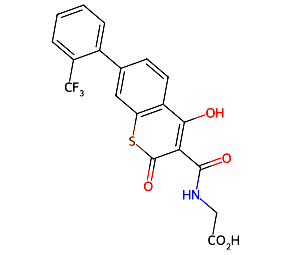 O=C(O)CNC(=O)c1c(O)c2ccc(-c3ccccc3C(F)(F)F)cc2sc1=O